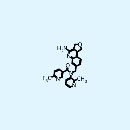 Cc1ncccc1N(Cc1ccc2c3c(c(N)nc2c1)COC3)C(=O)c1ccc(C(F)(F)F)nc1